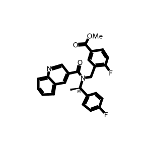 COC(=O)c1ccc(F)c(CN(C(=O)c2cnc3ccccc3c2)[C@H](C)c2ccc(F)cc2)c1